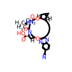 CC(C)(C)[C@@H]1NC(=O)O[C@@H]2CC3C[C@@H]3[C@H]2CCCCCc2nc3ccc(C#N)cc3nc2O[C@@H]2C[C@@H](C(=O)O)N(C2)C1=O